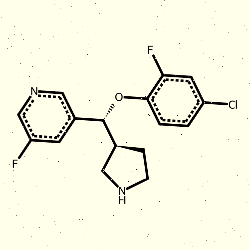 Fc1cncc([C@H](Oc2ccc(Cl)cc2F)[C@H]2CCNC2)c1